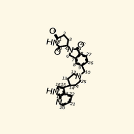 O=C1CCC(N2Cc3cc(CN4CCC(c5c[nH]c6ncccc56)CC4)ccc3C2=O)C(=O)N1